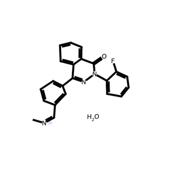 C/N=C\c1cccc(-c2nn(-c3ccccc3F)c(=O)c3ccccc23)c1.O